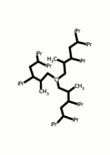 CC(C)C(CC(C(C)C)C(C)[CH2][Cr]([CH2]C(C)C(CC(C(C)C)C(C)C)C(C)C)[CH2]C(C)C(CC(C(C)C)C(C)C)C(C)C)C(C)C